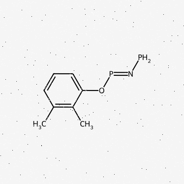 Cc1cccc(OP=NP)c1C